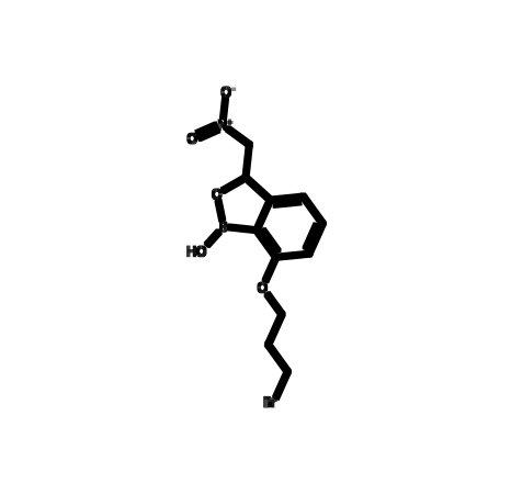 O=[N+]([O-])CC1OB(O)c2c(OCCCBr)cccc21